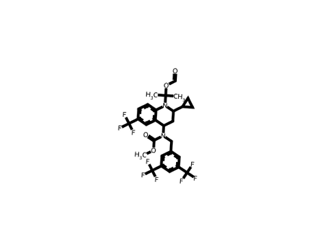 COC(=O)N(Cc1cc(C(F)(F)F)cc(C(F)(F)F)c1)C1CC(C2CC2)N(C(C)(C)OC=O)c2ccc(C(F)(F)F)cc21